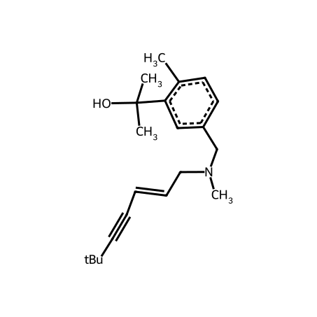 Cc1ccc(CN(C)CC=CC#CC(C)(C)C)cc1C(C)(C)O